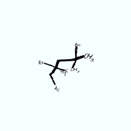 CCC(C)(CC(C)=O)CC(C)(C)C(C)=O